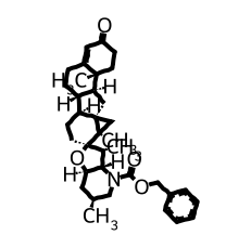 C[C@H]1C[C@H]2O[C@]3(CC[C@H]4[C@@H]5CCC6=CC(=O)CC[C@]6(C)[C@H]5C[C@@]45C[C@]53C)[C@H](C)[C@@H]2N(C(=O)OCc2ccccc2)C1